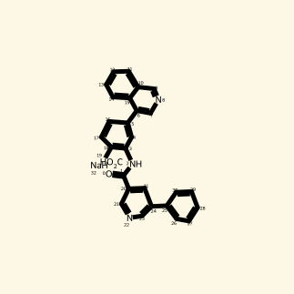 O=C(Nc1cc(-c2cncc3ccccc23)ccc1C(=O)O)c1cncc(-c2ccccc2)c1.[NaH]